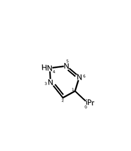 CC(C)C1C=NNN=N1